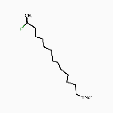 [CH2]CCCCCCCCCCCCCCCCCCCCC(C)F